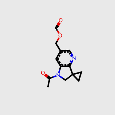 CC(=O)N1CC2(CC2)c2ncc(COC=O)cc21